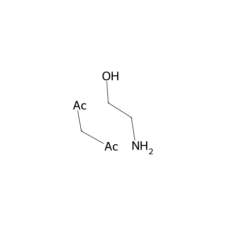 CC(=O)CC(C)=O.NCCO